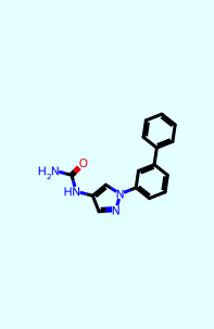 NC(=O)Nc1cnn(-c2cccc(-c3ccccc3)c2)c1